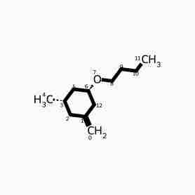 C=C1C[C@H](C)C[C@H](OCCCC)C1